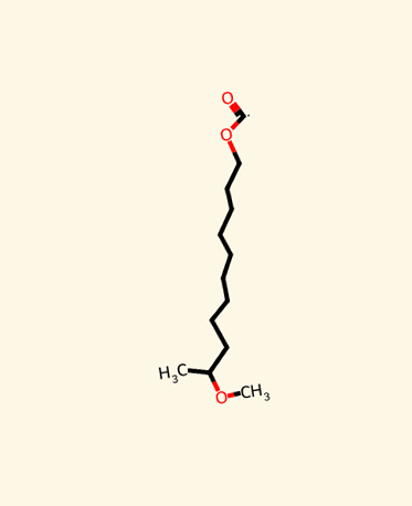 COC(C)CCCCCCCCCO[C]=O